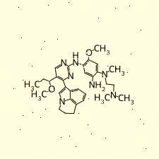 CCC(OC)c1cnc(Nc2cc(N)c(N(C)CCN(C)C)cc2OC)nc1-c1cn2c3c(cccc13)CCC2